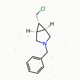 ClC[C@@H]1[C@H]2CN(Cc3ccccc3)C[C@@H]12